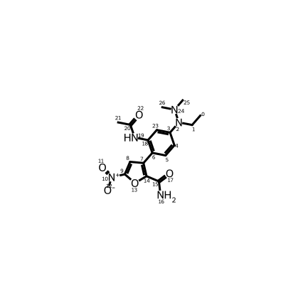 CCN(c1ccc(-c2cc([N+](=O)[O-])oc2C(N)=O)c(NC(C)=O)c1)N(C)C